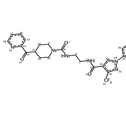 O=C(NCCNC(=O)N1CCC(C(=O)c2ccccn2)CC1)c1cn(-c2ccccc2)nc1C(F)(F)F